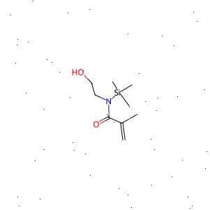 C=C(C)C(=O)N(CCO)[Si](C)(C)C